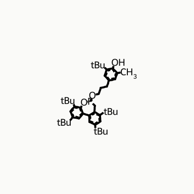 Cc1cc(CCCOP2Cc3c(cc(C(C)(C)C)cc3C(C)(C)C)-c3cc(C(C)(C)C)cc(C(C)(C)C)c3O2)cc(C(C)(C)C)c1O